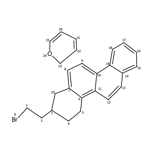 BrCCC1CCc2c(ccc3c2ccc2ccccc23)C1.C1=CCOC=C1